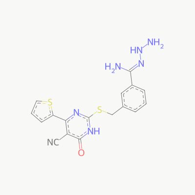 N#Cc1c(-c2cccs2)nc(SCc2cccc(/C(N)=N/NN)c2)[nH]c1=O